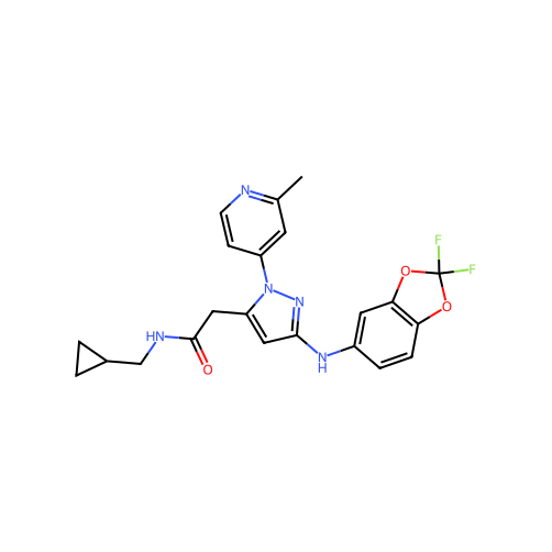 Cc1cc(-n2nc(Nc3ccc4c(c3)OC(F)(F)O4)cc2CC(=O)NCC2CC2)ccn1